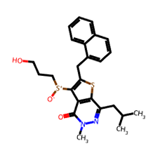 CC(C)Cc1nn(C)c(=O)c2c([S+]([O-])CCCO)c(Cc3cccc4ccccc34)sc12